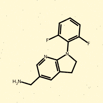 NCc1cnc2c(c1)CCN2c1c(F)cccc1F